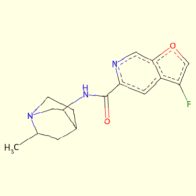 CC1CC2CCN1CC2NC(=O)c1cc2c(F)coc2cn1